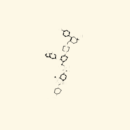 CO[C@H]1CC[C@@H](CNc2ccc(S(=O)(=O)NC(=O)c3ccc(N4CCN(CC5=C(c6ccc(Cl)cc6)CC(C)(C)CC5)CC4)cc3Oc3cnc4[nH]ccc4c3)cc2[N+](=O)[O-])CC1